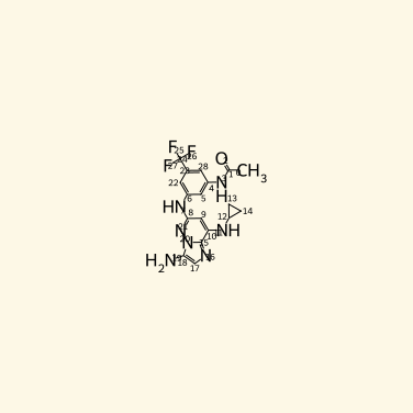 CC(=O)Nc1cc(Nc2cc(NC3CC3)c3ncc(N)n3n2)cc(C(F)(F)F)c1